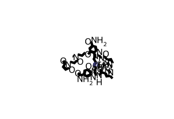 CCn1nc(C)cc1C(=O)Nc1nc2cc(C(N)=O)cc(OC)c2n1C/C=C/Cn1c(NC(=O)c2ccnn2CC)nc2cc(C(N)=O)cc(OCCCN(C)C(=O)CCN3C(=O)C=CC3=O)c21